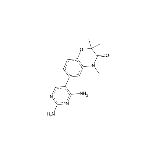 CN1C(=O)C(C)(C)Oc2ccc(-c3cnc(N)nc3N)cc21